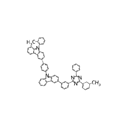 Cc1ccccc1-n1c2ccccc2c2cc(-c3ccc(-n4c5ccccc5c5cc(-c6cccc(-c7nc(C8=CC=CC(C)C8)nc(-c8ccccc8)n7)c6)ccc54)cc3)ccc21